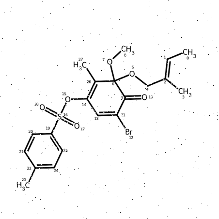 CC=C(C)COC1(OC)C(=O)C(Br)=CC(OS(=O)(=O)c2ccc(C)cc2)=C1C